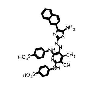 Cc1c(C#N)c(Nc2ccc(S(=O)(=O)O)cc2)nc(Nc2ccc(S(=O)(=O)O)cc2)c1/N=N/c1nc(-c2ccc3ccccc3c2)c(N)s1